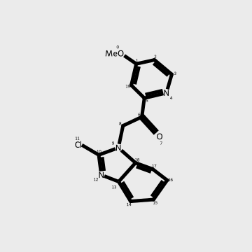 COc1ccnc(C(=O)Cn2c(Cl)nc3ccccc32)c1